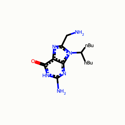 CCCCC(CCCC)n1c(CN)nc2c(=O)[nH]c(N)nc21